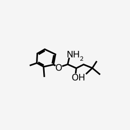 Cc1cccc(OC(N)C(O)CC(C)(C)C)c1C